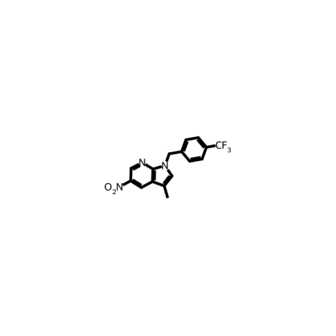 Cc1cn(Cc2ccc(C(F)(F)F)cc2)c2ncc([N+](=O)[O-])cc12